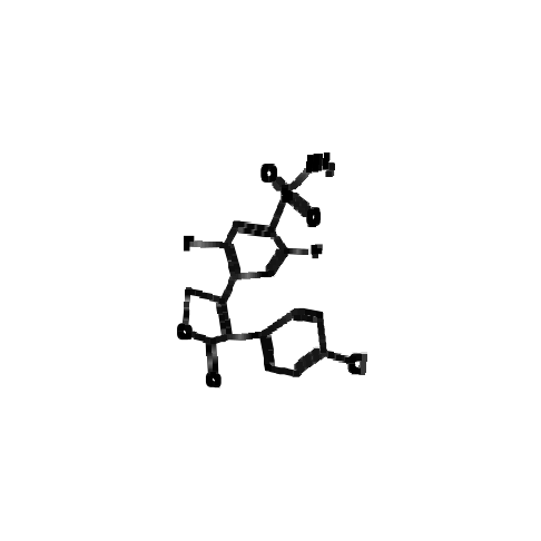 NS(=O)(=O)c1cc(F)c(C2=C(c3ccc(Cl)cc3)C(=O)OC2)cc1F